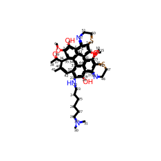 COc1c(O)c2c3c(c(OC)c4c5c(OC)c6c(c7c(O)c(NCCCCCCN(C)C)c8c(c(c1C(C(C)=O)C(C)=C8)c24)c75)=NCCS6)SCCN=3